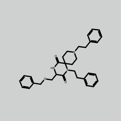 O=C1C(COCc2ccccc2)NC(=O)C2(CCN(CCc3ccccc3)CC2)N1CCc1ccccc1